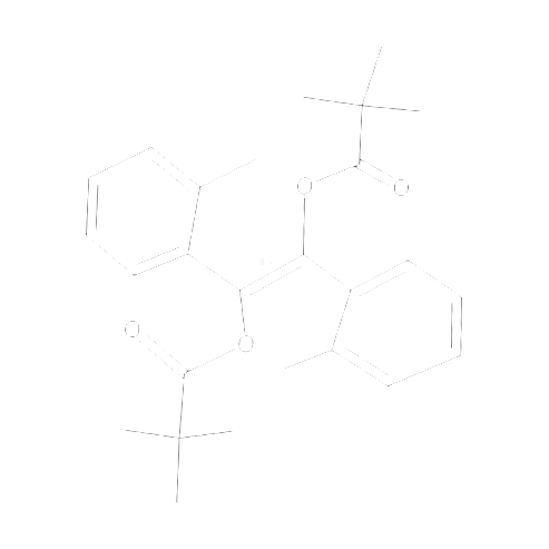 Cc1ccccc1/C(OC(=O)C(C)(C)C)=C(\OC(=O)C(C)(C)C)c1ccccc1C